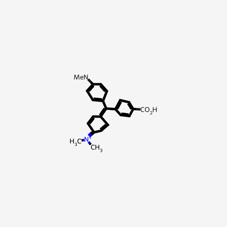 CNc1ccc(C(=C2C=CC(=[N+](C)C)C=C2)c2ccc(C(=O)O)cc2)cc1